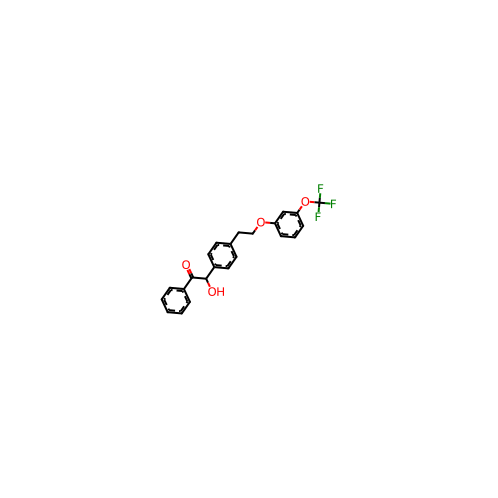 O=C(c1ccccc1)C(O)c1ccc(CCOc2cccc(OC(F)(F)F)c2)cc1